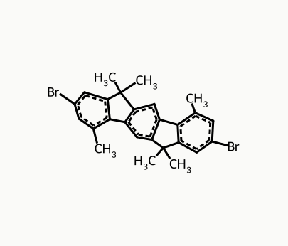 Cc1cc(Br)cc2c1-c1cc3c(cc1C2(C)C)-c1c(C)cc(Br)cc1C3(C)C